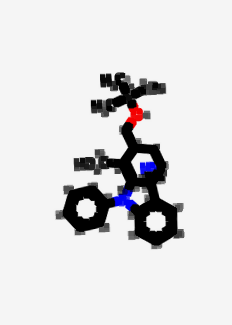 CCCC[Si](C)(C)OCC1CC2NCCC23C(=C1C(=O)O)N(c1ccccc1)c1ccccc13